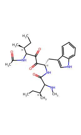 CC[C@H](C)C(NC)C(=O)N[C@@H](Cc1c[nH]c2ccccc12)C(=O)C(=O)C(NC(C)=O)[C@@H](C)CC